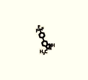 Cc1n[nH]c2cc(-c3ccc(C(F)(F)F)cc3)ccc12